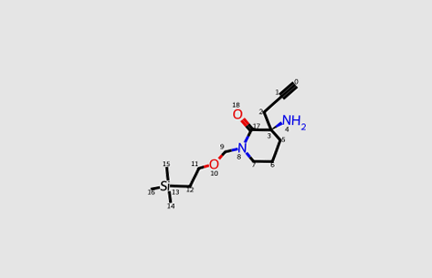 C#CC[C@]1(N)CCCN(COCC[Si](C)(C)C)C1=O